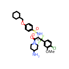 COc1cc(C(F)(F)[C@@H](NS(=O)(=O)c2ccc(OCC3CCCCC3)cc2)C(=O)N2CCC(N)CC2)ccc1Cl